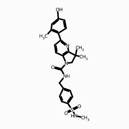 CNS(=O)(=O)c1ccc(CNC(=O)N2CC(C)(C)c3nc(-c4ccc(O)cc4C)ccc32)cc1